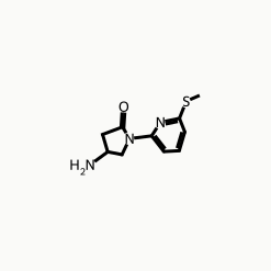 CSc1cccc(N2CC(N)CC2=O)n1